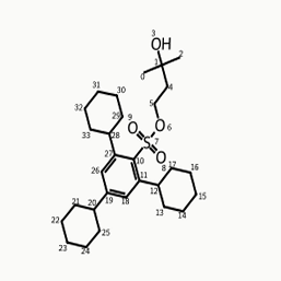 CC(C)(O)CCOS(=O)(=O)c1c(C2CCCCC2)cc(C2CCCCC2)cc1C1CCCCC1